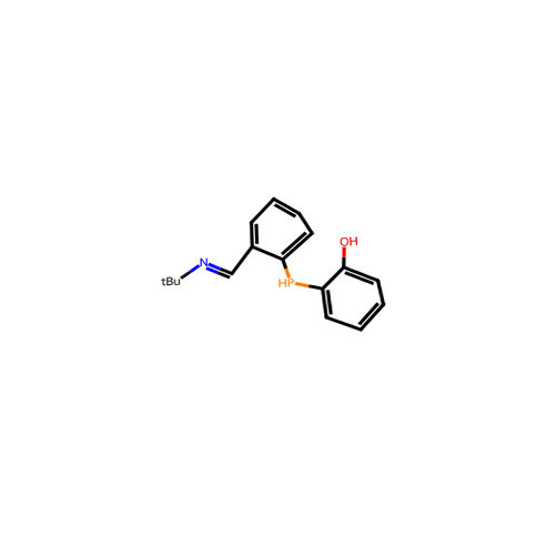 CC(C)(C)/N=C/c1ccccc1Pc1ccccc1O